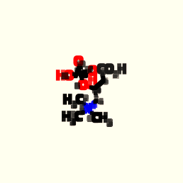 C[N+](C)(C)C[C@@H](CC(=O)O)O[As](=O)(O)O